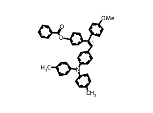 COc1ccc(/C(=C/c2ccc(N(c3ccc(C)cc3)c3ccc(C)cc3)cc2)c2ccc(OC(=O)c3ccccc3)cc2)cc1